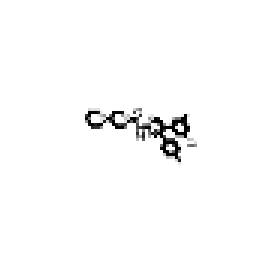 Cc1cc(Cl)cc(-c2cnc(NC(=O)N3CCC(N4CCCCC4)CC3)nc2-c2ccc(I)cc2)c1